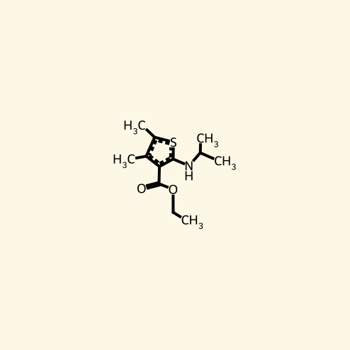 CCOC(=O)c1c(NC(C)C)sc(C)c1C